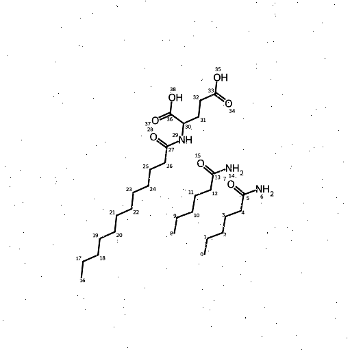 CCCCCC(N)=O.CCCCCC(N)=O.CCCCCCCCCCCC(=O)NC(CCC(=O)O)C(=O)O